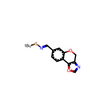 CC(C)(C)S/N=C/c1ccc2c(c1)OCc1ncoc1-2